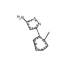 Cc1ccccc1-c1cc(N)sn1